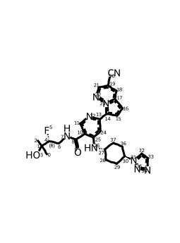 CC(C)(O)[C@H](F)CNC(=O)c1cnc(-c2ccc3cc(C#N)cnn23)cc1N[C@H]1CC[C@H](n2ccnn2)CC1